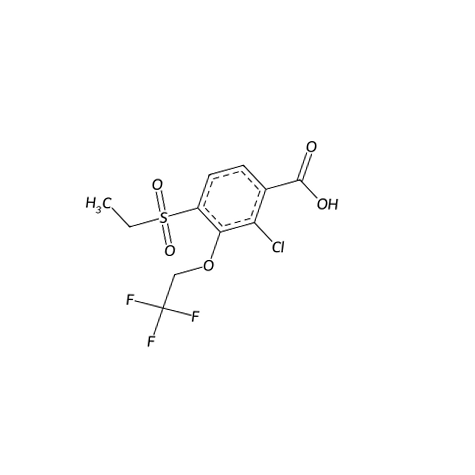 CCS(=O)(=O)c1ccc(C(=O)O)c(Cl)c1OCC(F)(F)F